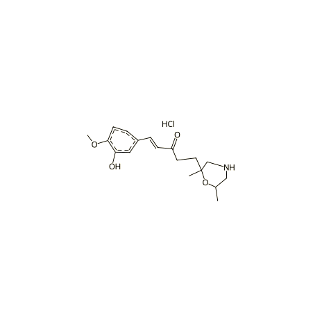 COc1ccc(C=CC(=O)CCC2(C)CNCC(C)O2)cc1O.Cl